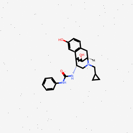 O=C(Nc1ccccc1)N[C@@H]1C[C@@]23CCN(CC4CC4)[C@H](Cc4ccc(O)cc42)[C@]3(O)C1